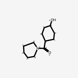 O=C(C1CCC(O)CC1)N1CCCCC1